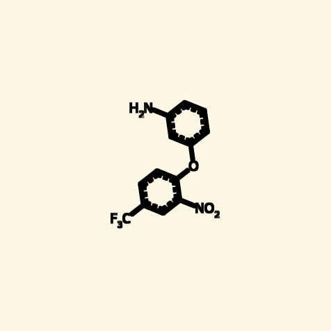 Nc1cccc(Oc2ccc(C(F)(F)F)cc2[N+](=O)[O-])c1